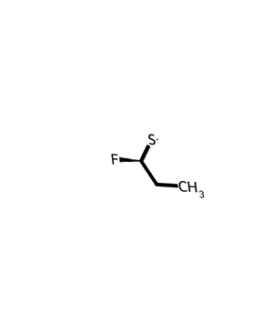 CC[C@@H](F)[S]